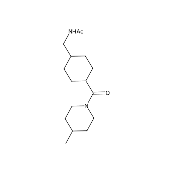 CC(=O)NCC1CCC(C(=O)N2CCC(C)CC2)CC1